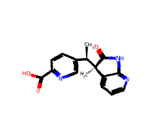 C[C@H](c1ccc(C(=O)O)nc1)[C@@]1(C)C(=O)Nc2ncccc21